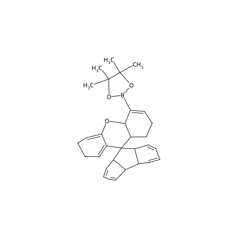 CC1(C)OB(C2=CCCC3C2OC2=CCCC=C2C32C3C=CC=CC3C3C=CC=CC32)OC1(C)C